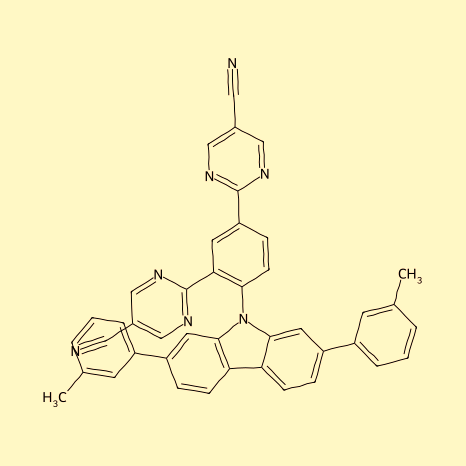 Cc1cccc(-c2ccc3c4ccc(-c5cccc(C)c5)cc4n(-c4ccc(-c5ncc(C#N)cn5)cc4-c4ncc(C#N)cn4)c3c2)c1